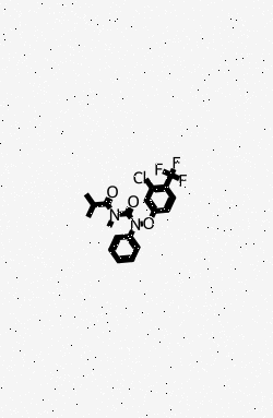 CC(C)C(=O)N(C)C(=O)N(Oc1ccc(C(F)(F)F)c(Cl)c1)c1ccccc1